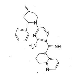 N=C(c1ncc(N2CC[C@H](I)C[C@H]2c2ccccc2)nc1N)N1CCCc2ncccc21